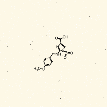 COc1ccc(CNC2=NC(C(=O)O)=CS2=S(=O)=O)cc1